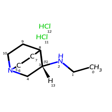 CCN[C@@H]1CN2CCC1CC2.Cl.Cl